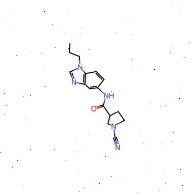 CCCn1cnc2cc(NC(=O)C3CCN(C#N)C3)ccc21